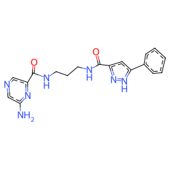 Nc1cncc(C(=O)NCCCNC(=O)c2cc(-c3ccccc3)[nH]n2)n1